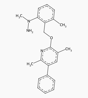 Cc1cc(-c2ccccc2)c(C)nc1OCc1c(C)cccc1N(C)N